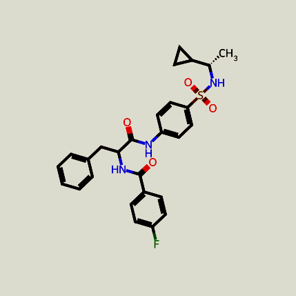 C[C@H](NS(=O)(=O)c1ccc(NC(=O)C(Cc2ccccc2)NC(=O)c2ccc(F)cc2)cc1)C1CC1